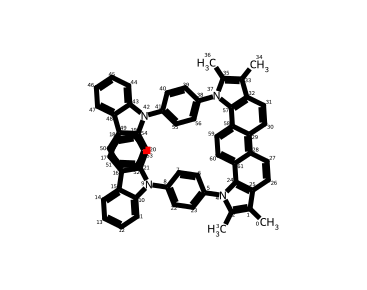 Cc1c(C)n(-c2ccc(-n3c4ccccc4c4ccccc43)cc2)c2c1ccc1c3ccc4c(C)c(C)n(-c5ccc(-n6c7ccccc7c7ccccc76)cc5)c4c3ccc12